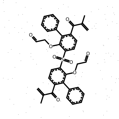 C=C(C)C(=O)c1ccc(S(=O)(=O)c2ccc(C(=O)C(=C)C)c(-c3ccccc3)c2OCC=O)c(OCC=O)c1-c1ccccc1